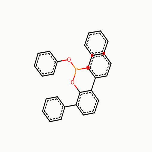 c1ccc(OP(Oc2ccccc2)Oc2c(-c3ccccc3)cccc2-c2ccccc2)cc1